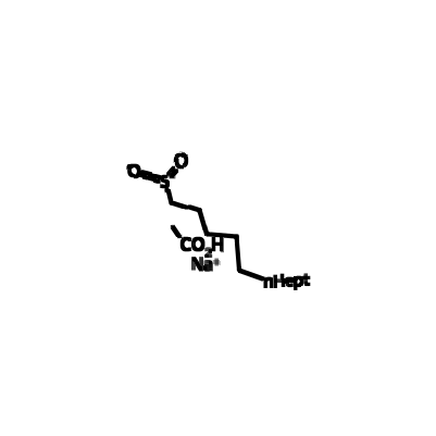 CC(=O)O.CCCCCCCCCCCC[S-](=O)=O.[Na+]